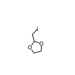 ICC1OCCO1